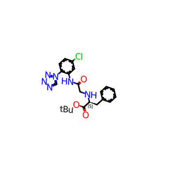 CC(C)(C)OC(=O)[C@H](Cc1ccccc1)NCC(=O)Nc1cc(Cl)ccc1-n1cnnn1